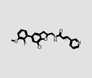 COc1cccc(-c2cc(Cl)c3c(c2)CC(CNC(=O)/C=C/c2cccnc2)O3)c1F